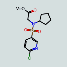 COC(=O)CN(C1CCCC1)S(=O)(=O)c1ccc(Cl)nc1